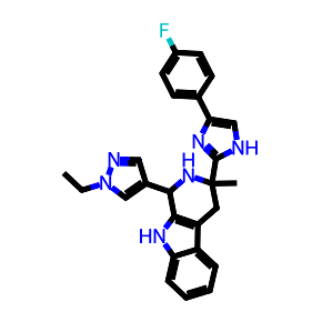 CCn1cc(C2NC(C)(c3nc(-c4ccc(F)cc4)c[nH]3)Cc3c2[nH]c2ccccc32)cn1